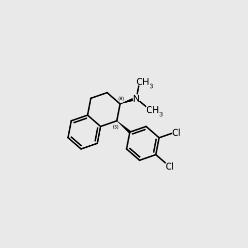 CN(C)[C@@H]1CCc2ccccc2[C@@H]1c1ccc(Cl)c(Cl)c1